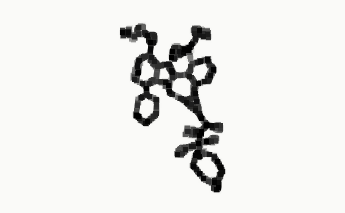 COc1ccc(C2CCCCC2)c2c1cc1n2CC2=C(C(=O)NS(=O)(=O)N3CCOCC3)C2=C2C=CC[C@@H](C(=O)O)C21